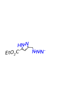 CCOC(=O)c1cc(CN=[N+]=[N-])n[nH]1